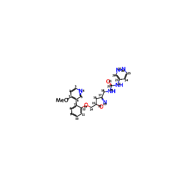 COc1ccncc1-c1ccccc1OCC1CC(CNC(=O)Nc2ccnnc2)=NO1